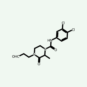 CC1C(=O)N(CCC=O)CCN1C(=O)Nc1ccc(Cl)c(Cl)c1